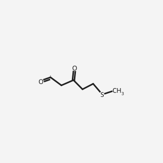 CSCCC(=O)C[C]=O